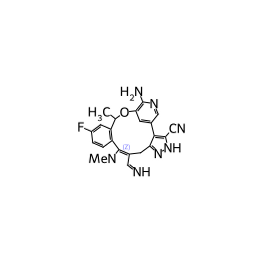 CN/C1=C(\C=N)Cc2n[nH]c(C#N)c2-c2cnc(N)c(c2)OC(C)c2cc(F)ccc21